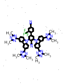 Cc1nc(C)nc(-c2ccc3c(c2)c2cc(-c4nc(C)nc(C)n4)ccc2n3-c2cc(-c3ccc(C#N)cc3C(F)(F)F)cc(-n3c4ccc(-c5nc(C)nc(C)n5)cc4c4cc(-c5nc(C)nc(C)n5)ccc43)c2C#N)n1